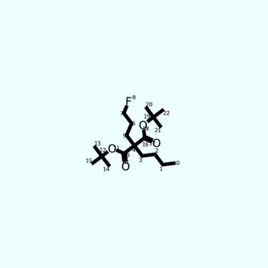 CCCCC(CCCF)(C(=O)OC(C)(C)C)C(=O)OC(C)(C)C